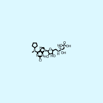 CN(c1nc(Cl)nc2c1ncn2C1OC(CNP(=O)(O)CP(=O)(O)O)C(O)C1O)C1CCCC1